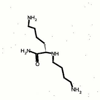 NCCCCN[C@@H](CCCCN)C(N)=O